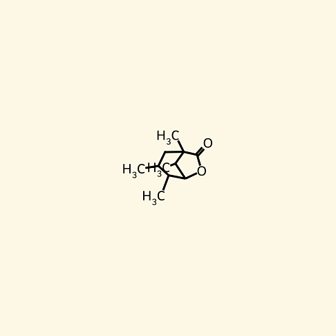 CC1CC2(C)C(=O)OC(C1C)C2C